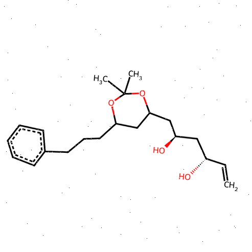 C=C[C@H](O)C[C@@H](O)CC1CC(CCCc2ccccc2)OC(C)(C)O1